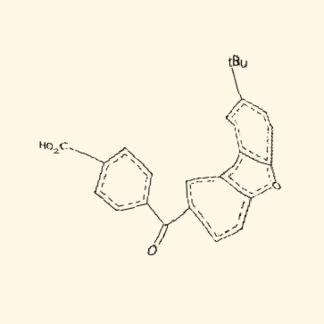 CC(C)(C)c1ccc2oc3ccc(C(=O)c4ccc(C(=O)O)cc4)cc3c2c1